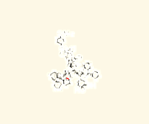 COc1ccc(COC(=O)C2(CCl)CS[C@@H]3C(NC(=O)C(=NO[C@H](C(=O)OC(c4ccccc4)c4ccccc4)c4ccc(O)c(O)c4)c4csc(NC(c5ccccc5)(c5ccccc5)c5ccccc5)n4)C(=O)N3C2)cc1